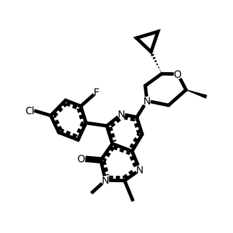 Cc1nc2cc(N3C[C@H](C)O[C@@H](C4CC4)C3)nc(-c3ccc(Cl)cc3F)c2c(=O)n1C